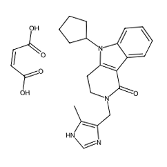 Cc1[nH]cnc1CN1CCc2c(c3ccccc3n2C2CCCC2)C1=O.O=C(O)/C=C\C(=O)O